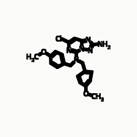 COc1ccc(CN(Cc2ccc(OC)cc2)c2nc(Cl)cc3nc(N)nn23)cc1